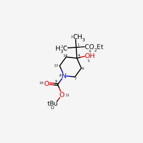 CCOC(=O)C(C)(C)C1(O)CCN(C(=O)OC(C)(C)C)CC1